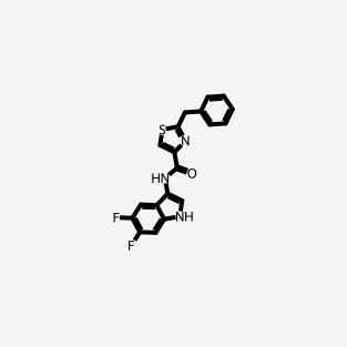 O=C(Nc1c[nH]c2cc(F)c(F)cc12)c1csc(Cc2ccccc2)n1